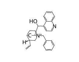 C=C[C@H]1C[N+]2(Cc3ccccc3)CCC1CC2C(O)c1ccnc2ccccc12